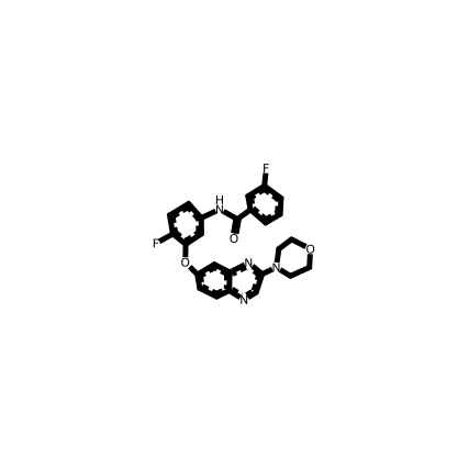 O=C(Nc1ccc(F)c(Oc2ccc3ncc(N4CCOCC4)nc3c2)c1)c1cccc(F)c1